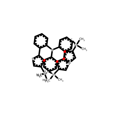 [CH3][Sn]([CH3])([CH3])[c]1csc(-c2ccccc2N(c2ccccc2-c2c[c]([Sn]([CH3])([CH3])[CH3])cs2)c2ccccc2-c2c[c]([Sn]([CH3])([CH3])[CH3])cs2)c1